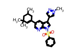 CC1CC(c2cnc3c(c2)c(-c2cnn(C)c2)cn3S(=O)(=O)c2ccccc2)=CC(C)(C)C1